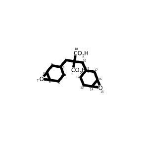 O=C(O)C(CC1CCC2OC2C1)(CC1CCC2OC2C1)C(=O)O